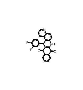 O=C1C2=C(C(=O)c3ccccc31)C(c1ccc(F)c(F)c1)c1c(ccc3ncccc13)N2